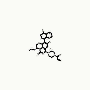 C=CC(=O)N1CCN(c2nc(=O)n3c4c(c(-c5ccc(F)c6cccnc56)c(Cl)cc24)SC[C@@H]3COC)[C@@H](C)C1